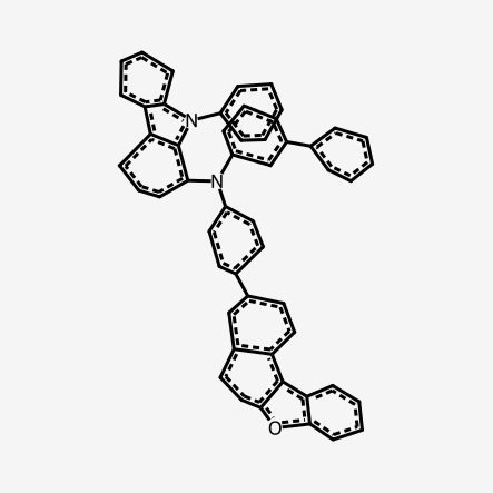 c1ccc(-c2cccc(N(c3ccc(-c4ccc5c(ccc6oc7ccccc7c65)c4)cc3)c3cccc4c5ccccc5n(-c5ccccc5)c34)c2)cc1